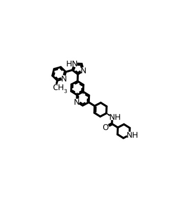 Cc1cccc(-c2[nH]cnc2-c2ccc3ncc(C4=CC[C@H](NC(=O)C5CCNCC5)CC4)cc3c2)n1